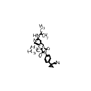 CC(C)Nc1cc(CN2C(=O)N(c3ccc(C4(C#N)CC4)cc3)C(=O)C2(C)C)ccn1